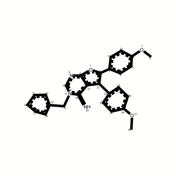 COc1ccc(-c2oc3ncn(Cc4ccccc4)c(=N)c3c2-c2ccc(OC)cc2)cc1